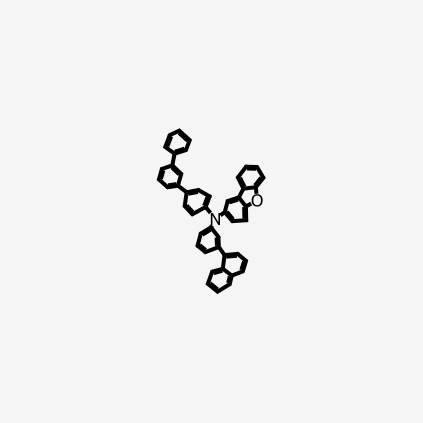 c1ccc(-c2cccc(-c3ccc(N(c4cccc(-c5cccc6ccccc56)c4)c4ccc5oc6ccccc6c5c4)cc3)c2)cc1